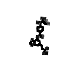 N=C(N)Nc1ccc(C(=O)Oc2cc(CCC(=O)O)cn3ncnc23)cc1